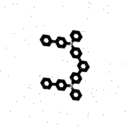 c1ccc(-c2ccc(N(c3ccccc3)c3ccc(-c4cccc(-c5ccc(N(c6ccccc6)c6ccc(-c7ccccc7)cc6)cc5)c4)cc3)cc2)cc1